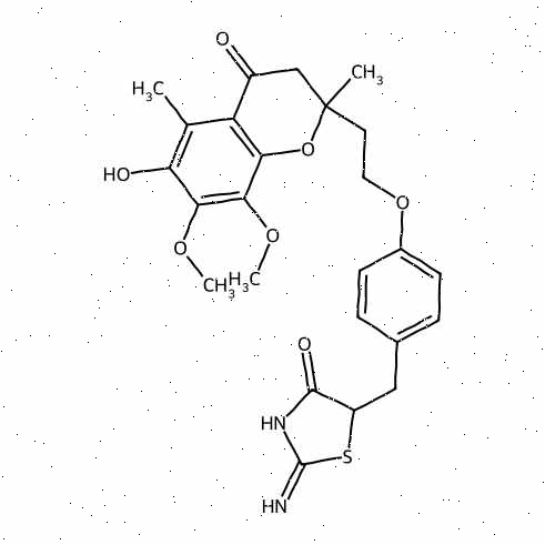 COc1c(O)c(C)c2c(c1OC)OC(C)(CCOc1ccc(CC3SC(=N)NC3=O)cc1)CC2=O